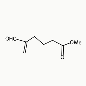 C=C(C=O)CCCC(=O)OC